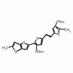 CCCCCCCCCCc1cc(/C=C/c2cc(CCCCCCCCCC)c(-c3cc4sc(C)cc4s3)s2)sc1C